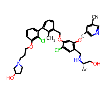 CC(=O)[C@@H](CO)NCc1cc(Cl)c(OCc2cccc(-c3cccc(OCCCN4CC[C@@H](O)C4)c3Cl)c2C)cc1OCc1cncc(C#N)c1